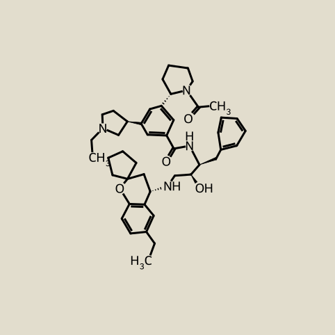 CCc1ccc2c(c1)[C@@H](NC[C@H](O)[C@H](Cc1ccccc1)NC(=O)c1cc([C@@H]3CCN(CC)C3)cc([C@@H]3CCCCN3C(C)=O)c1)CC1(CCCC1)O2